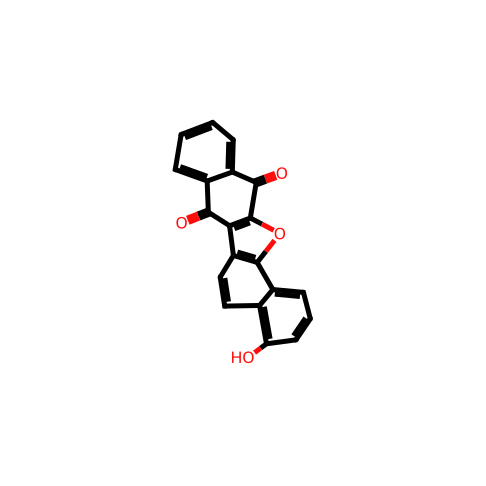 O=C1c2ccccc2C(=O)c2c1oc1c2ccc2c(O)cccc21